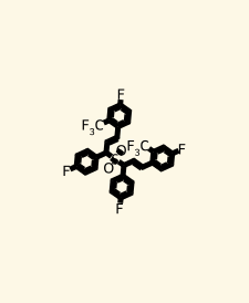 O=S(=O)(C(C=Cc1ccc(F)cc1C(F)(F)F)c1ccc(F)cc1)C(C=Cc1ccc(F)cc1C(F)(F)F)c1ccc(F)cc1